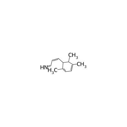 CC1=CC=C(C)C(/C=C\C=N)C1C